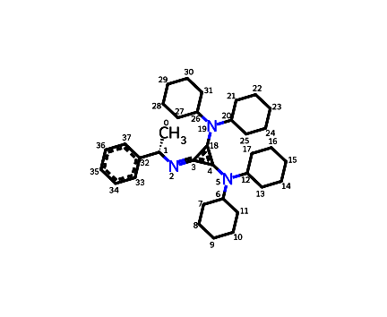 C[C@H](N=c1c(N(C2CCCCC2)C2CCCCC2)c1N(C1CCCCC1)C1CCCCC1)c1ccccc1